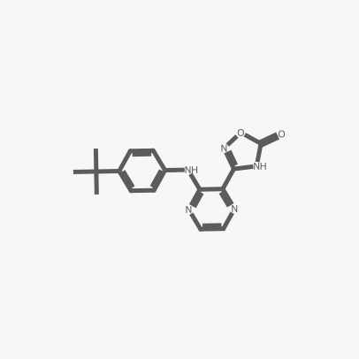 CC(C)(C)c1ccc(Nc2nccnc2-c2noc(=O)[nH]2)cc1